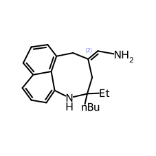 CCCCC1(CC)C/C(=C\N)Cc2cccc3cccc(c23)N1